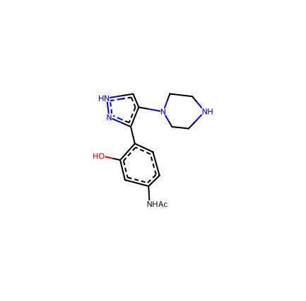 CC(=O)Nc1ccc(-c2n[nH]cc2N2CCNCC2)c(O)c1